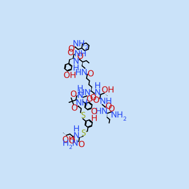 CCC[C@H](NC(=O)CNC(=O)[C@H](NC(=O)[C@H](CCCCC(=O)NCC[C@H](CC)C(=O)N[C@@H](Cc1ccc(O)cc1)C(=O)N[C@H](C(N)=O)C1CCCCC1)NC(=O)[C@H](Cc1ccc(O)cc1)NC(=O)C(NC(=O)CCSCc1cccc(CSC[C@H](NC(=O)C[C@@H](C)O)C(N)=O)c1)C(C)(C)C)[C@@H](C)O)C(N)=O